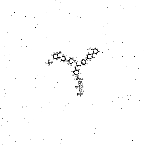 CC(C)c1ccccc1-[n+]1ccc(-c2cc[n+](CC(Cc3ccccc3)C[n+]3ccc(-c4cc[n+](-c5ccccc5C(C)C)cc4)cc3)cc2)cc1.F[B-](F)(F)F.F[B-](F)(F)F.O=S(=O)([O-])C(F)(F)F.O=S(=O)([O-])C(F)(F)F